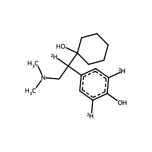 [2H]c1cc(C([2H])(CN(C)C)C2(O)CCCCC2)cc([2H])c1O